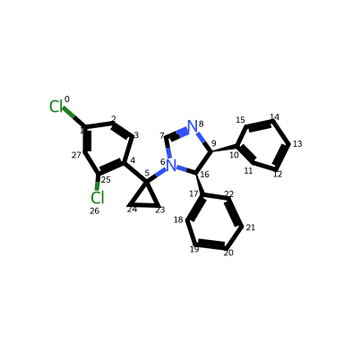 Clc1ccc(C2(N3C=N[C@@H](c4ccccc4)[C@H]3c3ccccc3)CC2)c(Cl)c1